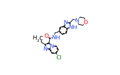 CCc1nc2cc(Cl)ccn2c1C(=O)NCc1ccc2[nH]c(CN3CCOCC3)nc2c1